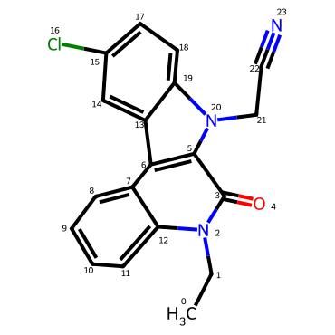 CCn1c(=O)c2c(c3ccccc31)c1cc(Cl)ccc1n2CC#N